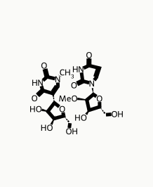 CO[C@@H]1[C@H](O)[C@@H](CO)O[C@H]1n1ccc(=O)[nH]c1=O.Cn1cc([C@@H]2O[C@H](CO)[C@@H](O)[C@H]2O)c(=O)[nH]c1=O